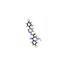 Nc1scc(CN2CCN(c3ccc(Cl)cc3F)CC2)c1C(=O)c1ccc(Cl)cc1